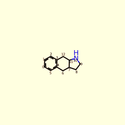 c1ccc2c(c1)CC1CCNC1C2